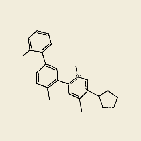 Cc1ccccc1-c1ccc(C)c(-c2cc(C)c(C3CCCC3)c[n+]2C)c1